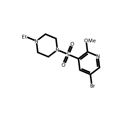 CCN1CCN(S(=O)(=O)c2cc(Br)cnc2OC)CC1